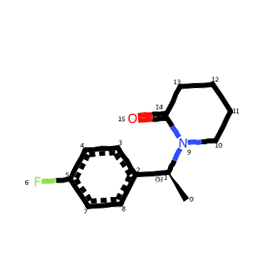 C[C@@H](c1ccc(F)cc1)N1CCCCC1=O